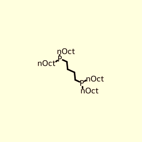 CCCCCCCCP(CCCCCCCC)CCCCP(CCCCCCCC)CCCCCCCC